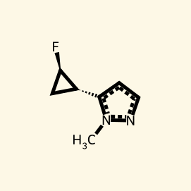 Cn1nccc1[C@@H]1C[C@H]1F